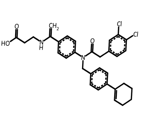 C=C(NCCC(=O)O)c1ccc(N(Cc2ccc(C3=CCCCC3)cc2)C(=O)Cc2ccc(Cl)c(Cl)c2)cc1